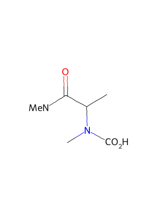 CNC(=O)C(C)N(C)C(=O)O